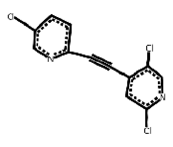 Clc1ccc(C#Cc2cc(Cl)ncc2Cl)nc1